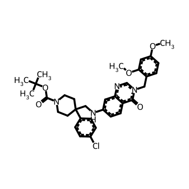 COc1ccc(Cn2cnc3cc(NCC4(c5ccc(Cl)cc5)CCN(C(=O)OC(C)(C)C)CC4)ccc3c2=O)c(OC)c1